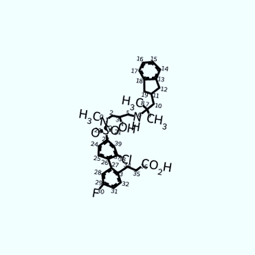 CN(CC(O)CNC(C)(C)CC1Cc2ccccc2C1)S(=O)(=O)c1ccc(-c2cc(F)ccc2CCC(=O)O)c(Cl)c1